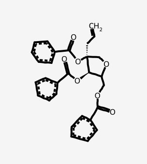 C=CC[C@]1(OC(=O)c2ccccc2)COC(COC(=O)c2ccccc2)[C@H]1OC(=O)c1ccccc1